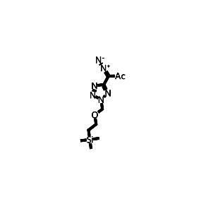 CC(=O)C(=[N+]=[N-])c1nnn(COCC[Si](C)(C)C)n1